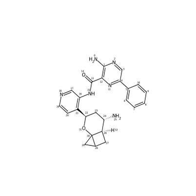 Nc1ncc(-c2ccccc2)nc1C(=O)Nc1cnccc1[C@H]1C[C@H](N)[C@H]2CC3CC32O1